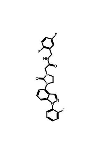 O=C(CN1CCN(c2cccc3c2cnn3-c2ccccc2F)C1=O)NCc1cc(F)ccc1F